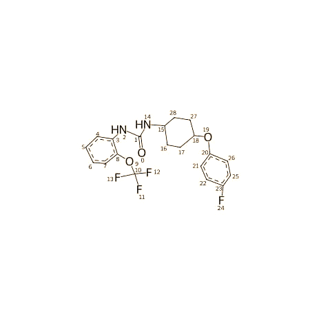 O=C(Nc1ccccc1OC(F)(F)F)NC1CCC(Oc2ccc(F)cc2)CC1